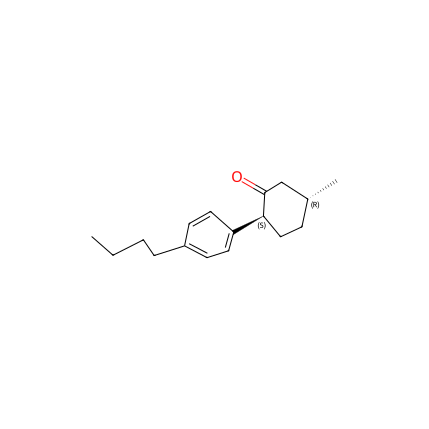 CCCCc1ccc([C@@H]2CC[C@@H](C)CC2=O)cc1